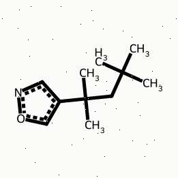 CC(C)(C)CC(C)(C)c1cnoc1